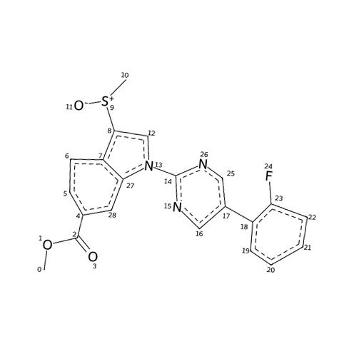 COC(=O)c1ccc2c([S+](C)[O-])cn(-c3ncc(-c4ccccc4F)cn3)c2c1